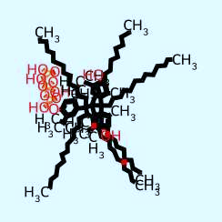 CCCCCCCCCCCCCC(CCCCCCCCCCCCC)C(CCCCCCCCCCCCC)(c1cc(C(C)(C)C)c(OP(=O)(O)OP(=O)(O)OP(=O)(O)O)cc1C)C(CCCCCCCCCCCCC)(CCCCCCCCCCCCC)C(CCCCCCCCCCCCC)(c1cc(C(C)(C)C)c(O)cc1C)c1cc(C(C)(C)C)c(O)cc1C